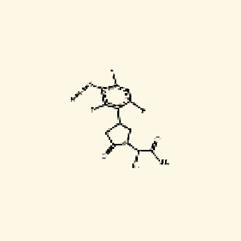 CCC(C(N)=O)N1CC(c2c(F)cc(F)c(N=[N+]=[N-])c2F)CC1=O